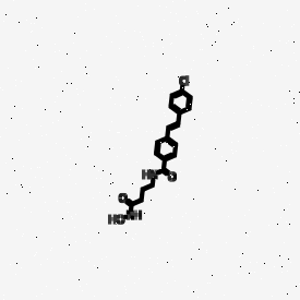 O=C(CCCNC(=O)c1ccc(C=Cc2ccc(Cl)cc2)cc1)NO